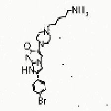 NCCCCCN1CCN(c2cn3cc(-c4ccc(Br)cc4)[nH]c3nc2=O)CC1